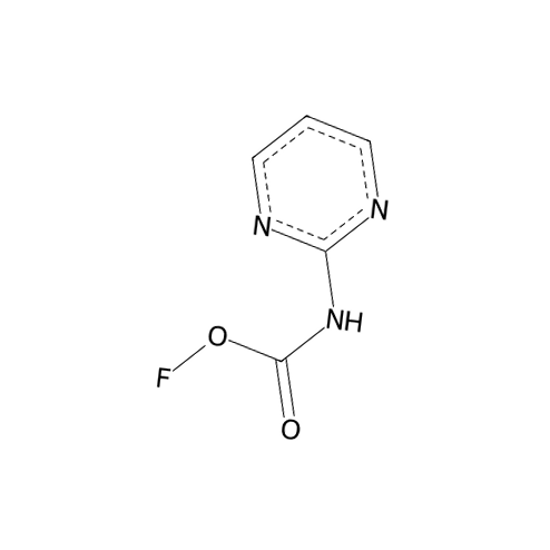 O=C(Nc1ncccn1)OF